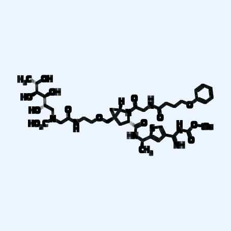 C[C@H](O)[C@H](O)[C@@H](O)[C@@H](O)CN(CC(=O)NCCOC[C@@]12C[C@@H]1N(C(=O)CNC(=O)CCCOc1ccccc1)[C@H](C(=O)N[C@H](C)c1cc(C(=N)NC(=O)OC(C)(C)C)cs1)C2)C(=O)O